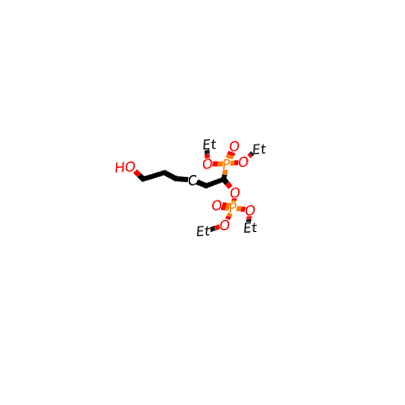 CCOP(=O)(OCC)OC(CCCCCO)P(=O)(OCC)OCC